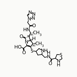 C[C@@H](NC(=O)Cn1cnnn1)[C@H]1C(=O)N2C(C(=O)O)=C(SC3CNC(CNC(=O)C4CSCN4)C3)[C@H](C)[C@H]12